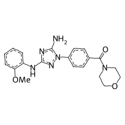 COc1ccccc1Nc1nc(N)n(-c2ccc(C(=O)N3CCOCC3)cc2)n1